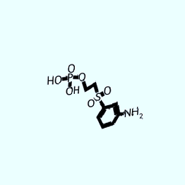 Nc1cccc(S(=O)(=O)CCOP(=O)(O)O)c1